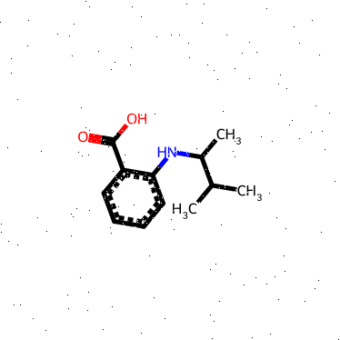 CC(C)C(C)Nc1ccccc1C(=O)O